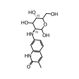 Cc1cc2ccc(N[C@@H]3C(O)OC(CO)[C@@H](O)C3O)cc2[nH]c1=O